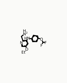 CCOc1cnc(CN)c(Nc2ccc(OC(F)F)cc2)c1